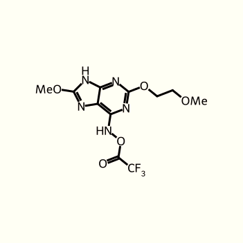 COCCOc1nc(NOC(=O)C(F)(F)F)c2nc(OC)[nH]c2n1